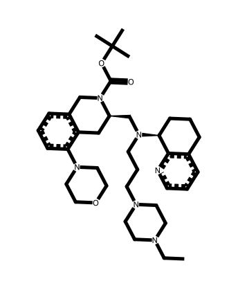 CCN1CCN(CCCN(C[C@H]2Cc3c(cccc3N3CCOCC3)CN2C(=O)OC(C)(C)C)[C@H]2CCCc3cccnc32)CC1